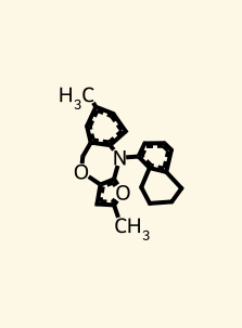 Cc1ccc2c(c1)COc1cc(C)oc1N2c1cccc2c1CCCC2